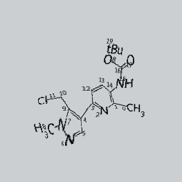 Cc1nc(-c2cnn(C)c2CCl)ccc1NC(=O)OC(C)(C)C